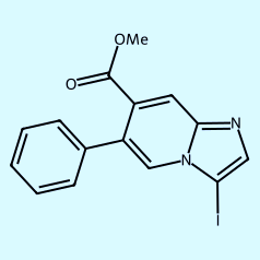 COC(=O)c1cc2ncc(I)n2cc1-c1ccccc1